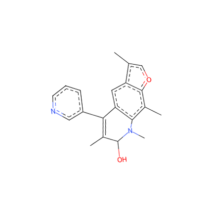 CC1=C(c2cccnc2)c2cc3c(C)coc3c(C)c2N(C)C1O